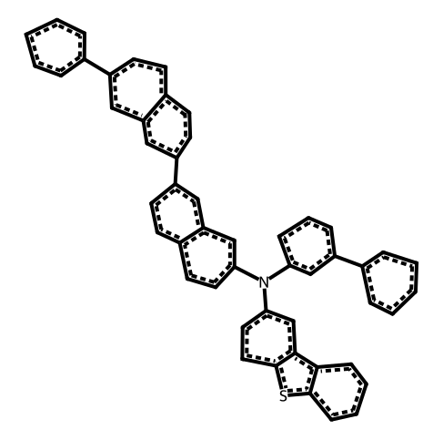 c1ccc(-c2cccc(N(c3ccc4ccc(-c5ccc6ccc(-c7ccccc7)cc6c5)cc4c3)c3ccc4sc5ccccc5c4c3)c2)cc1